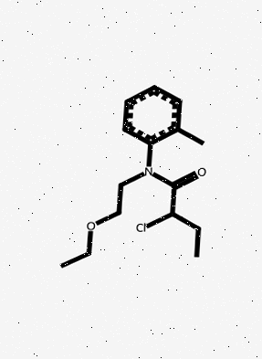 CCOCCN(C(=O)C(Cl)CC)c1ccccc1C